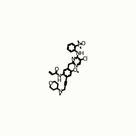 C=CC(=O)Nc1cc(Cc2ncc(Cl)c(Nc3ccccc3P(C)(C)=O)n2)c(OC)cc1C#CCN(C)C1CCOCC1